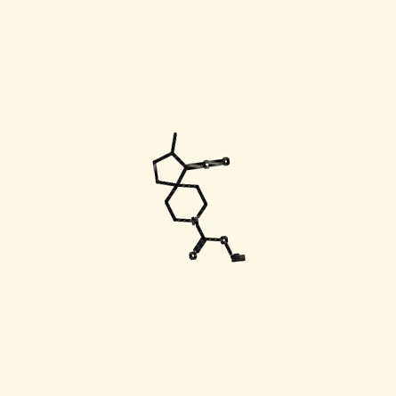 CC1CCC2(CCN(C(=O)OC(C)(C)C)CC2)C1=C=O